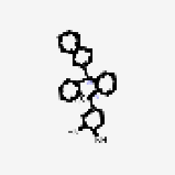 C/C(C1=CC(=N)C(=N)C=C1)=c1/cccc/c1=C(/c1ccccc1)c1ccc2ccccc2c1